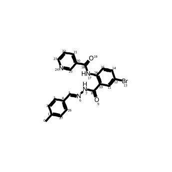 Cc1ccc(C=NNC(=O)c2cc(Br)ccc2NC(=O)c2cccnc2)cc1